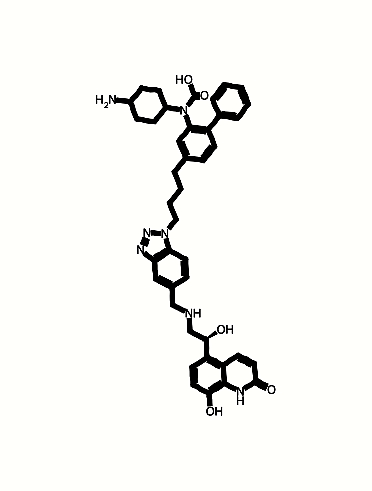 NC1CCC(N(C(=O)O)c2cc(CCCCn3nnc4cc(CNC[C@@H](O)c5ccc(O)c6[nH]c(=O)ccc56)ccc43)ccc2-c2ccccc2)CC1